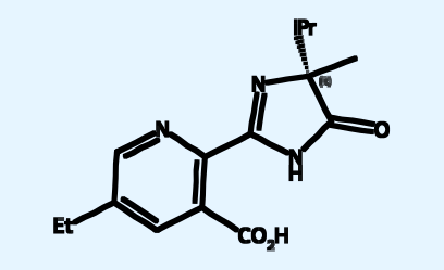 CCc1cnc(C2=N[C@](C)(C(C)C)C(=O)N2)c(C(=O)O)c1